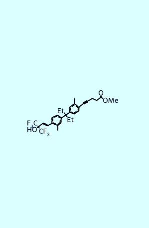 CCC(CC)(c1ccc(C#CCCC(=O)OC)c(C)c1)c1ccc(C=CC(O)(C(F)(F)F)C(F)(F)F)c(C)c1